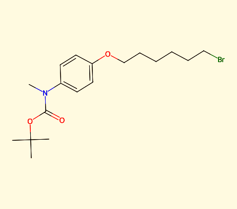 CN(C(=O)OC(C)(C)C)c1ccc(OCCCCCCBr)cc1